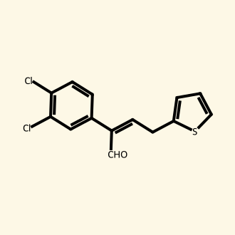 O=CC(=CCc1cccs1)c1ccc(Cl)c(Cl)c1